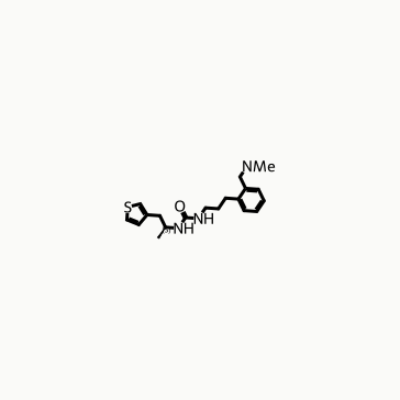 CNCc1ccccc1CCCNC(=O)N[C@@H](C)Cc1ccsc1